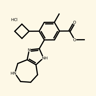 COC(=O)c1cc(-c2nc3c([nH]2)CCCNC3)c(C2CCC2)cc1C.Cl